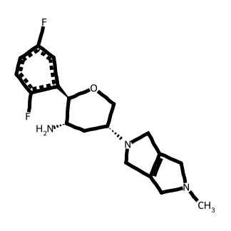 CN1CC2=C(C1)CN([C@H]1CO[C@H](c3cc(F)ccc3F)[C@@H](N)C1)C2